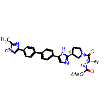 COC(=O)N[C@H](C(=O)N1CC[C@H](c2ncc(-c3ccc(-c4ccc(-c5c[nH]c(C)n5)cc4)cc3)[nH]2)C1)C(C)C